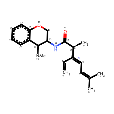 C=C/C(=C\C=C(C)C)[C@H](C)C(=O)NC1COc2ccccc2C1NC